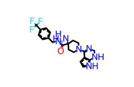 NC1(C(=O)NCc2ccc(C(F)(F)F)cc2)CCN(C2=NCNc3[nH]ccc32)CC1